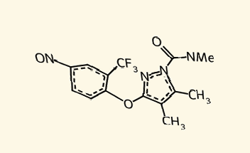 CNC(=O)n1nc(Oc2ccc(N=O)cc2C(F)(F)F)c(C)c1C